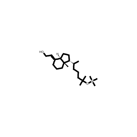 CC(CCCC(C)(C)O[Si](C)(C)C)[C@H]1CC[C@@H]2C(=CCO)CCC[C@]21C